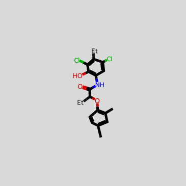 CCc1c(Cl)cc(NC(=O)C(CC)Oc2ccc(C)cc2C)c(O)c1Cl